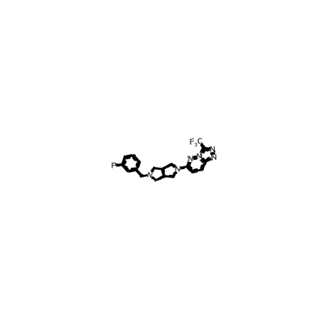 Fc1cccc(CN2CC3CN(c4ccc5nnc(C(F)(F)F)n5n4)CC3C2)c1